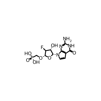 Nc1nc2c(ccn2[C@@H]2O[C@H](OCP(=O)(O)O)C(F)[C@@H]2O)c(=O)[nH]1